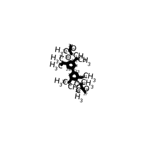 CC(C)c1cc(-c2cc(C(C)C)c(OCC3(C)CO3)c(C(C)C)c2)cc(C(C)C)c1OCC1(C)CO1